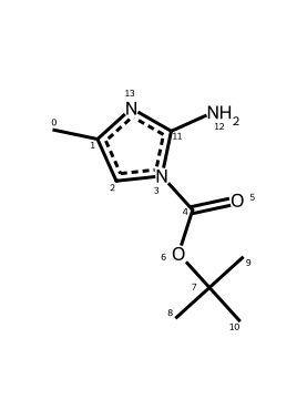 Cc1cn(C(=O)OC(C)(C)C)c(N)n1